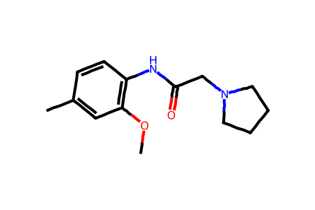 COc1cc(C)ccc1NC(=O)CN1CCCC1